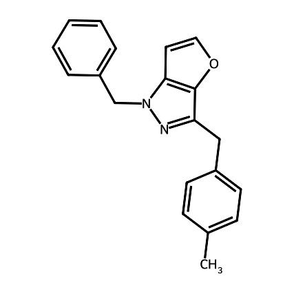 Cc1ccc(Cc2nn(Cc3ccccc3)c3ccoc23)cc1